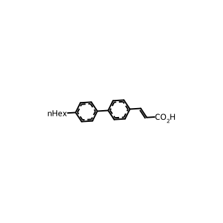 CCCCCCc1ccc(-c2ccc(/C=C/C(=O)O)cc2)cc1